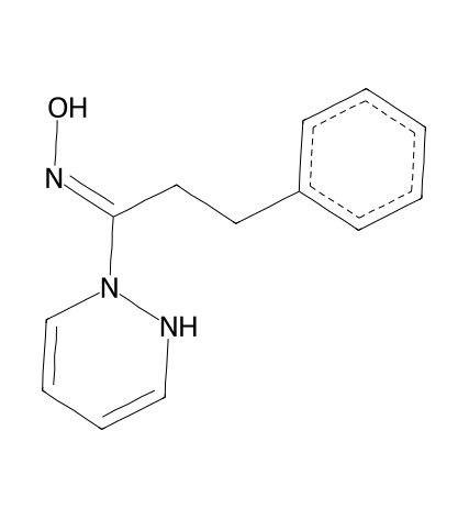 O/N=C(\CCc1ccccc1)N1C=CC=CN1